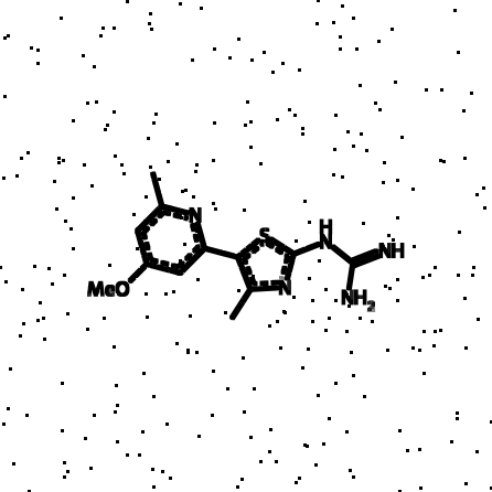 COc1cc(C)nc(-c2sc(NC(=N)N)nc2C)c1